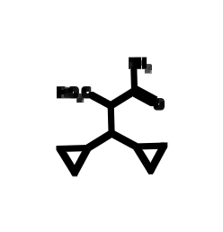 CCOC(=O)C(C(N)=O)C(C1CC1)C1CC1